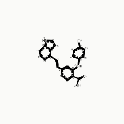 O=C(O)c1ccc(C=Cc2cccc3[nH]ccc23)cc1Nc1ccc(F)cc1